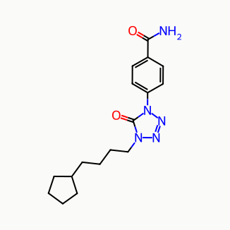 NC(=O)c1ccc(-n2nnn(CCCCC3CCCC3)c2=O)cc1